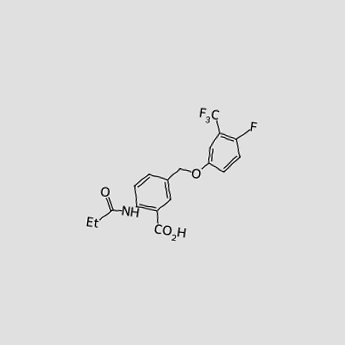 CCC(=O)Nc1ccc(COc2ccc(F)c(C(F)(F)F)c2)cc1C(=O)O